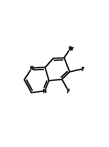 Fc1c(Br)cc2nccnc2c1F